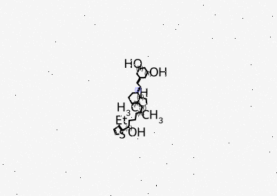 CCc1ccsc1[C@@H](O)CCC[C@@H](C)[C@H]1CC[C@H]2/C(=C/C=C3C[C@@H](O)C[C@H](O)C3)CCC[C@]12C